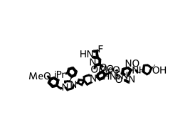 COc1ccc(CN2CCN(C3CC4(CCN(c5ccc(C(=O)NS(=O)(=O)c6cc(N=O)c(NC[C@H]7CC[C@](C)(O)CC7)c7nccn67)c(Oc6cc7c(F)c[nH]c7nc6OC)c5)CC4)C3)[C@H](c3ccccc3C(C)C)C2)cc1